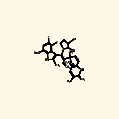 C=C/C(=C(\c1c(C)[nH]c2c(NC)cc(F)c(F)c12)N1CCC(CC)C1CC)C(C)(C)/C=C\C1=C(C)C=C(C)C(=C)N1